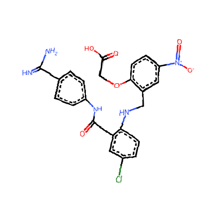 N=C(N)c1ccc(NC(=O)c2cc(Cl)ccc2NCc2cc([N+](=O)[O-])ccc2OCC(=O)O)cc1